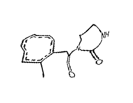 Cc1ccccc1C(=O)N1CCNC1=O